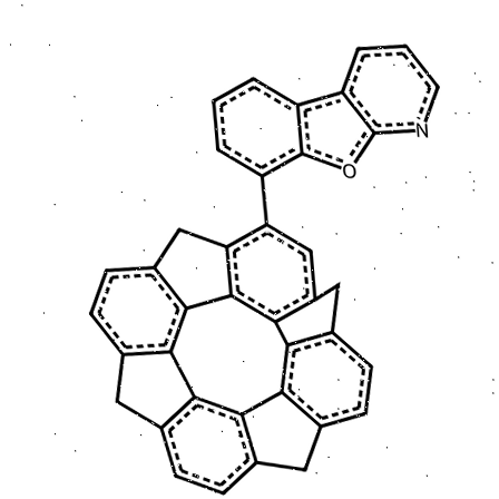 c1cnc2oc3c(-c4cc5c6c7c4Cc4ccc8c(c4-7)-c4c(ccc7c4-c4c(ccc(c4-6)C5)C7)C8)cccc3c2c1